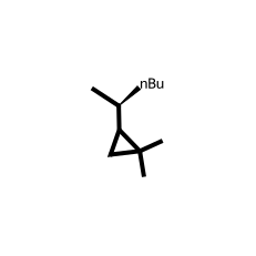 CCCC[C@H](C)C1CC1(C)C